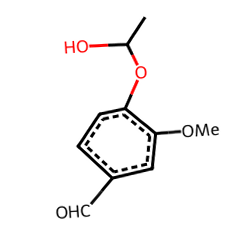 COc1cc(C=O)ccc1OC(C)O